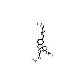 CCCO/N=C/c1ccc2c(c1)C1(COC(N)=N1)[C@]1(CC[C@H](OC)CC1)C2